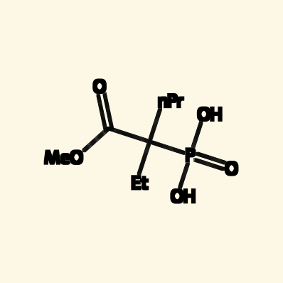 CCCC(CC)(C(=O)OC)P(=O)(O)O